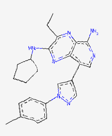 CCc1nc2c(N)ncc(-c3cnn(-c4ccc(C)cc4)c3)c2nc1NC1CCCC1